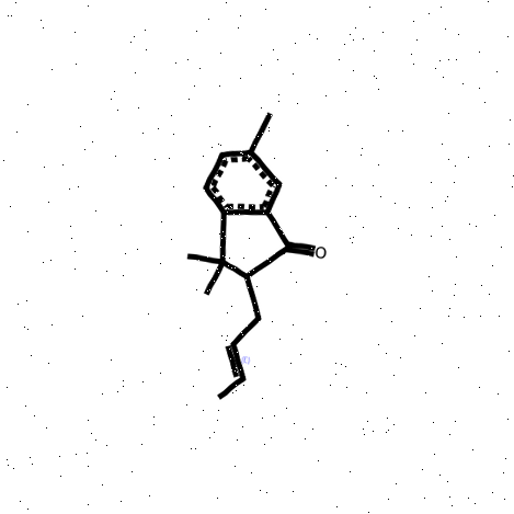 C/C=C/CC1C(=O)c2cc(C)ccc2C1(C)C